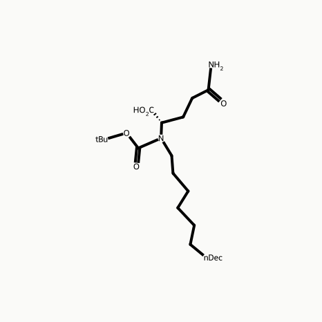 CCCCCCCCCCCCCCCCN(C(=O)OC(C)(C)C)[C@@H](CCC(N)=O)C(=O)O